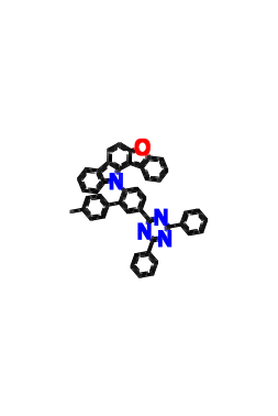 Cc1ccc(-c2cc(-c3nc(-c4ccccc4)nc(-c4ccccc4)n3)ccc2-n2c3ccccc3c3ccc4oc5ccccc5c4c32)cc1